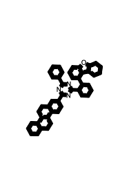 c1ccc(-c2nc(-c3ccc4c(ccc5c6ccccc6ccc45)c3)nc(-c3ccccc3-c3cccc4oc5ccccc5c34)n2)cc1